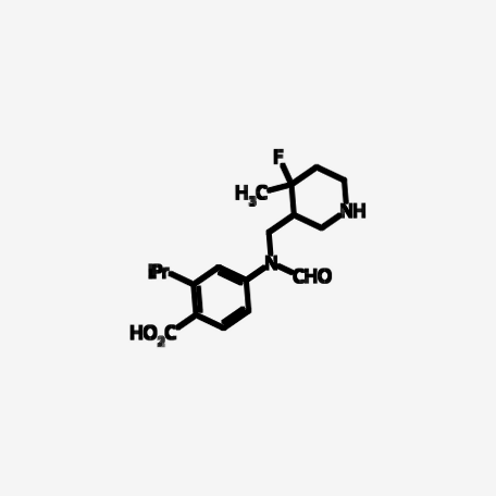 CC(C)c1cc(N(C=O)CC2CNCCC2(C)F)ccc1C(=O)O